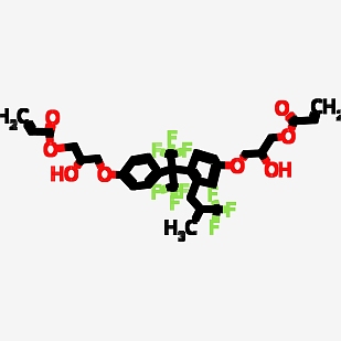 C=CC(=O)OCC(O)COc1ccc(C(c2ccc(OCC(O)COC(=O)C=C)cc2CC(C)C(F)(F)F)(C(F)(F)F)C(F)(F)F)cc1